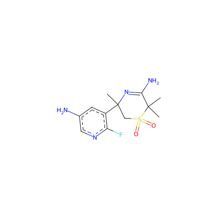 CC1(c2cc(N)cnc2F)CS(=O)(=O)C(C)(C)C(N)=N1